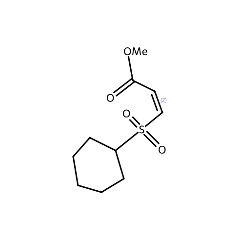 COC(=O)/C=C\S(=O)(=O)C1CCCCC1